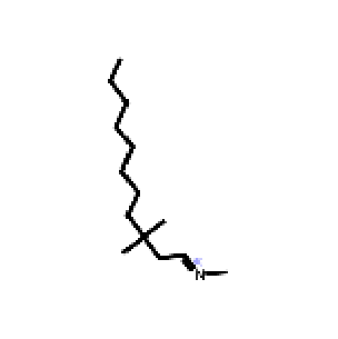 CCCCCCCCC(C)(C)C/C=N/C